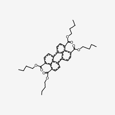 CCCCOC(=O)c1ccc2c3ccc(C(=O)OCCCC)c4c(C(=O)OCCCC)ccc(c5ccc(C(=O)OCCCC)c1c25)c43